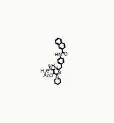 CC(=O)Oc1c(N(C)C)nc(Cc2ccc(NC(=O)c3ccc4ccccc4c3)cc2)nc1N1CCCCC1